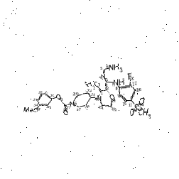 C=C1/C(=C(\N=C/N)Nc2ccc(S(C)(=O)=O)cc2F)OCCN1C1CCN(C(=O)Oc2cccc(OC)c2)CC1